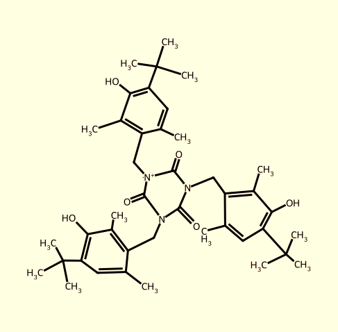 Cc1cc(C(C)(C)C)c(O)c(C)c1CN1C(=O)N(Cc2c(C)cc(C(C)(C)C)c(O)c2C)C(=O)[N+](Cc2c(C)cc(C(C)(C)C)c(O)c2C)C1=O